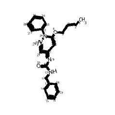 CCCCOc1cc(=NC(=O)NCc2ccccc2)cnn1-c1ccccc1